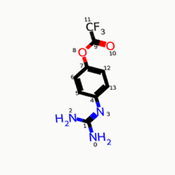 NC(N)=Nc1ccc(OC(=O)C(F)(F)F)cc1